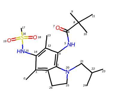 Cc1c2c(c(NC(=O)C(C)(C)C)c(C)c1NS(C)(=O)=O)N(CC(C)C)CC2